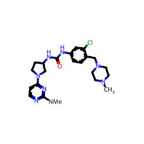 CNc1nccc(N2CCC(NC(=O)Nc3ccc(CN4CCN(C)CC4)c(Cl)c3)C2)n1